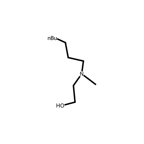 CCCCCCCN(C)CCO